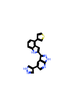 c1cc(-c2ccsc2)c2cc(-c3n[nH]c4ncc(-c5cn[nH]c5)cc34)[nH]c2c1